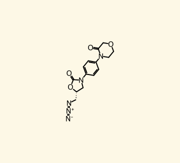 [N-]=[N+]=NC[C@H]1CN(c2ccc(N3CCOCC3=O)cc2)C(=O)O1